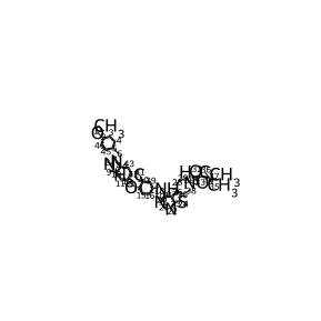 COc1ccc(Cn2ncc3cc(Oc4ccc(Nc5ncnc6sc7c(c56)CCN(C(=O)OC(C)(C)C)C7)cc4C)ccc32)cc1